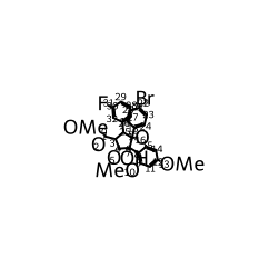 COC(=O)C1C(=O)C2(O)c3c(OC)cc(OC)cc3OC2(c2ccc(Br)cc2)C1c1cccc(F)c1